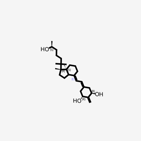 C=C1[C@H](O)CC(=C/C=C2\CCC[C@@]3(C)C2CC[C@]3(C)C(C)(C)CCC[C@H](C)O)C[C@H]1O